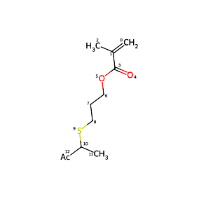 C=C(C)C(=O)OCCCSC(C)C(C)=O